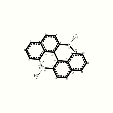 O[P@](Cl)c1ccc2ccccc2c1-c1c([P@](O)Cl)ccc2ccccc12